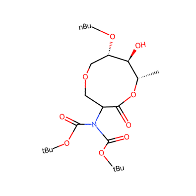 CCCCO[C@H]1COCC(N(C(=O)OC(C)(C)C)C(=O)OC(C)(C)C)C(=O)O[C@@H](C)[C@@H]1O